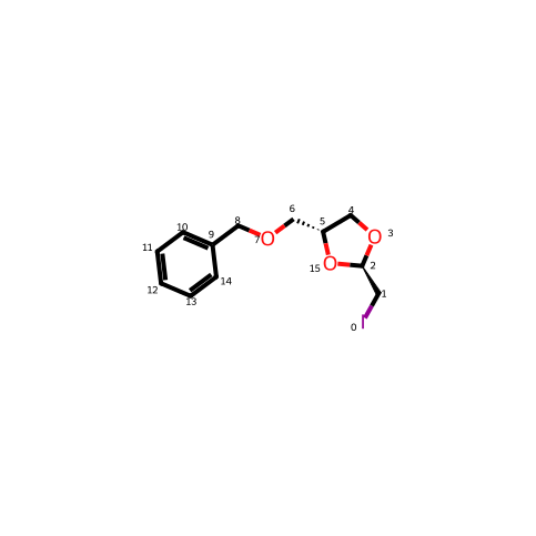 IC[C@@H]1OC[C@@H](COCc2ccccc2)O1